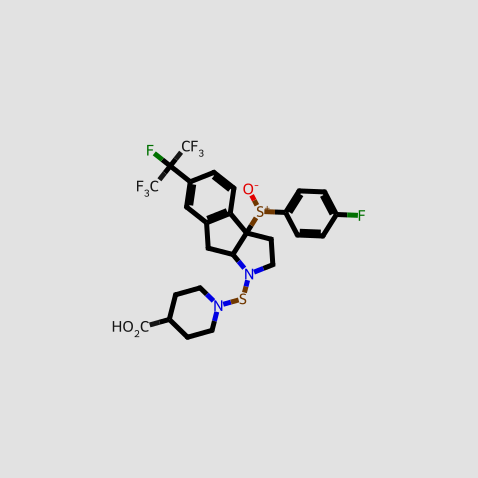 O=C(O)C1CCN(SN2CCC3([S+]([O-])c4ccc(F)cc4)c4ccc(C(F)(C(F)(F)F)C(F)(F)F)cc4CC23)CC1